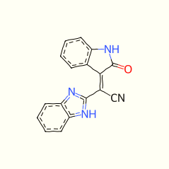 N#CC(=C1C(=O)Nc2ccccc21)c1nc2ccccc2[nH]1